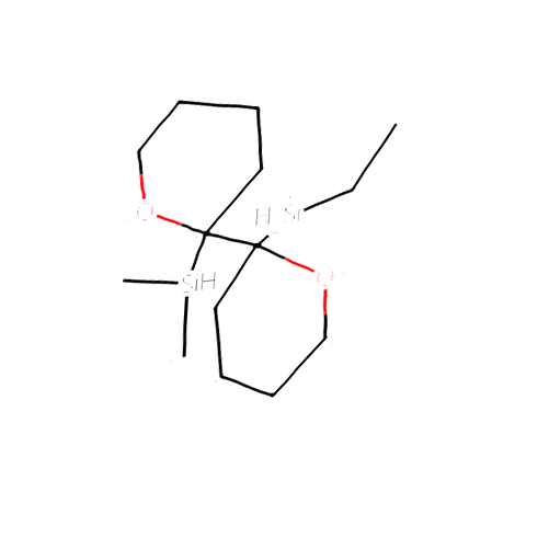 CC[SiH2]C1(C2([SiH](C)C)CCCCO2)CCCCO1